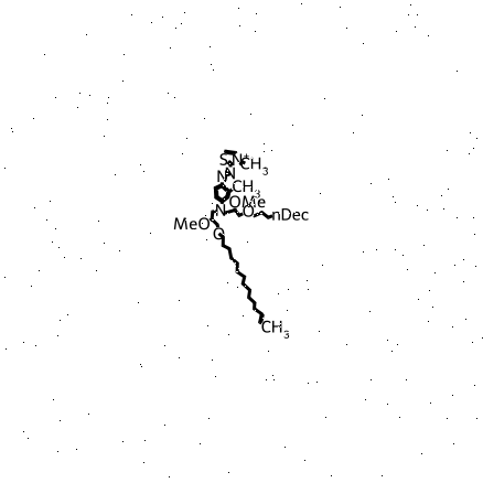 C/C=C/CCCCCCCCCCCCOCC(CN(CC(COCCCCCCCCCCCCC)OC)c1ccc(/N=N/c2scc[n+]2C)c(C)c1)OC